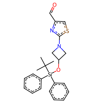 CC(C)(C)[Si](OC1CN(c2nc(C=O)cs2)C1)(c1ccccc1)c1ccccc1